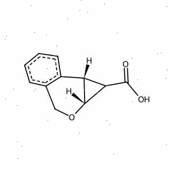 O=C(O)C1[C@H]2c3ccccc3CO[C@@H]12